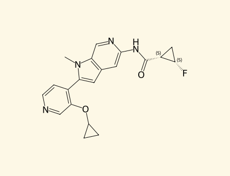 Cn1c(-c2ccncc2OC2CC2)cc2cc(NC(=O)[C@@H]3C[C@@H]3F)ncc21